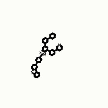 c1ccc(-c2cccc(-c3cc(-c4cccc(-c5cccnc5)c4)c4nc(-c5ccc(-c6ccc7sc8ccccc8c7c6)cc5)sc4c3)c2)cc1